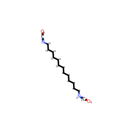 O=C=NCCCCCCCCCCCCCN=C=O